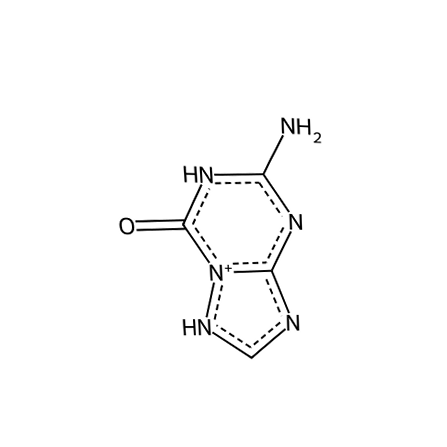 Nc1nc2nc[nH][n+]2c(=O)[nH]1